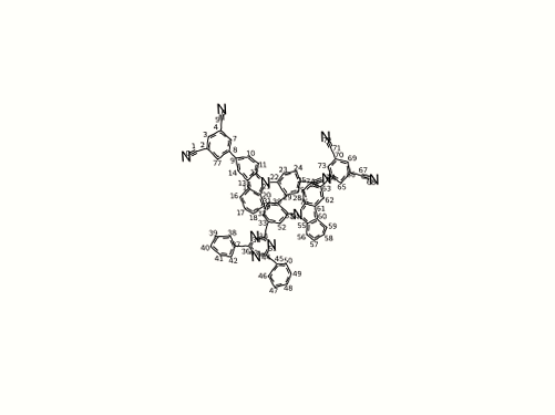 N#Cc1cc(C#N)cc(-c2ccc3c(c2)c2ccccc2n3-c2ccc(C#N)cc2-c2ccc(-c3nc(-c4ccccc4)nc(-c4ccccc4)n3)cc2-n2c3ccccc3c3cc(-c4cc(C#N)cc(C#N)c4)ccc32)c1